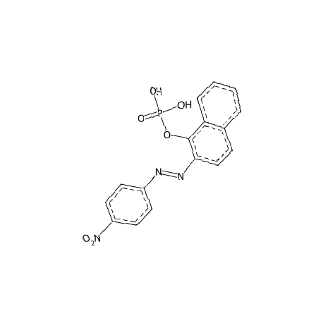 O=[N+]([O-])c1ccc(N=Nc2ccc3ccccc3c2OP(=O)(O)O)cc1